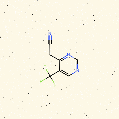 N#CCc1ncncc1C(F)(F)F